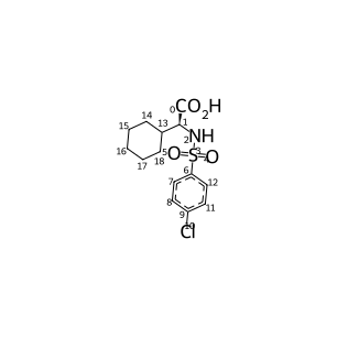 O=C(O)[C@@H](NS(=O)(=O)c1ccc(Cl)cc1)C1CCCCC1